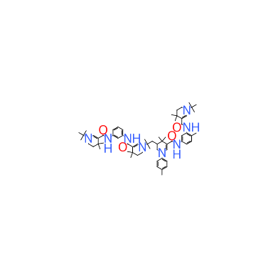 Cc1ccc(N2C=C(C(=O)Nc3ccc(C)c(NC(=O)C4=CN(C(C)(C)C)CCC4(C)C)c3)C(C)(C)C(CC(C)(C)N3C=C(C(=O)Nc4cccc(NC(=O)C5=CN(C(C)(C)C)CCC5(C)C)c4)C(C)(C)CC3)C2)cc1